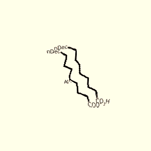 CCCCCCCCCCCCCCCCCC(=O)O.CCCCCCCCCCCCCCCCCC(=O)[O-].[Al+]